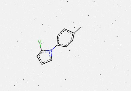 Cc1ccc(-n2cccc2Cl)cc1